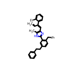 C=C/C(=C\c1nc(-c2cc(CCc3ccccc3)ccc2CC(C)C)[nH]c1C)c1ccccc1CC